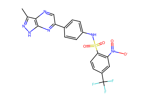 Cc1n[nH]c2nc(-c3ccc(NS(=O)(=O)c4ccc(C(F)(F)F)cc4[N+](=O)[O-])cc3)cnc12